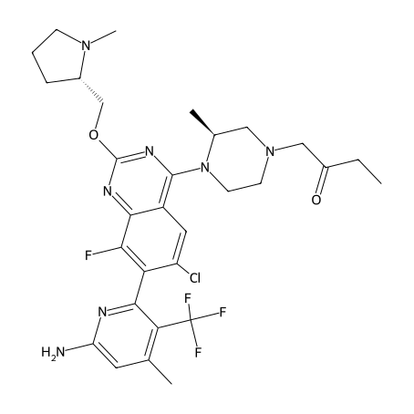 CCC(=O)CN1CCN(c2nc(OC[C@@H]3CCCN3C)nc3c(F)c(-c4nc(N)cc(C)c4C(F)(F)F)c(Cl)cc23)[C@@H](C)C1